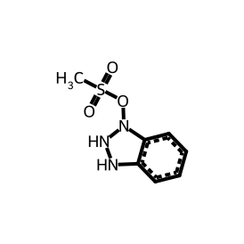 CS(=O)(=O)ON1NNc2ccccc21